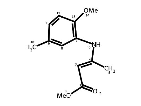 COC(=O)C=C(C)Nc1cc(C)ccc1OC